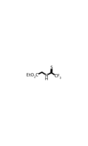 CCOC(=O)CNC(=S)C(F)(F)F